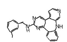 Cc1cccc(CNc2ncc3c(n2)-c2ccccc2Nc2cnccc2-3)c1